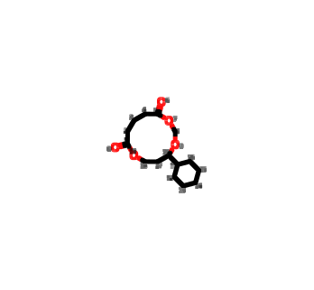 O=C1CCCC(=O)OCOC(C2CCCCC2)CCO1